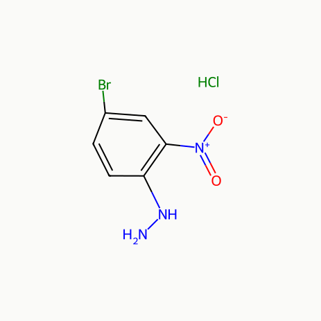 Cl.NNc1ccc(Br)cc1[N+](=O)[O-]